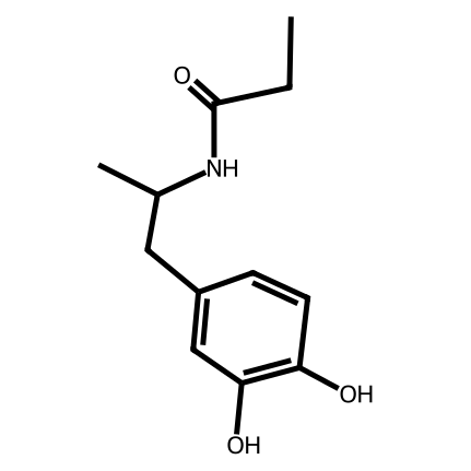 CCC(=O)NC(C)Cc1ccc(O)c(O)c1